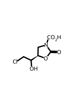 O=C(O)N1C[C@H](C(O)CCl)OC1=O